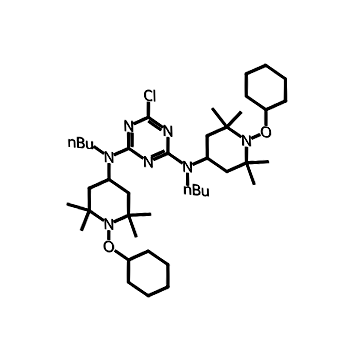 CCCCN(c1nc(Cl)nc(N(CCCC)C2CC(C)(C)N(OC3CCCCC3)C(C)(C)C2)n1)C1CC(C)(C)N(OC2CCCCC2)C(C)(C)C1